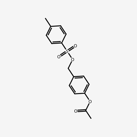 CC(=O)Oc1ccc(COS(=O)(=O)c2ccc(C)cc2)cc1